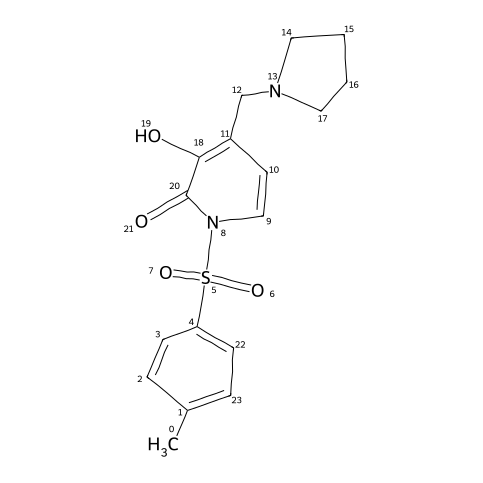 Cc1ccc(S(=O)(=O)n2ccc(CN3CCCC3)c(O)c2=O)cc1